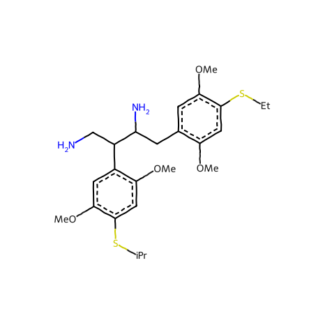 CCSc1cc(OC)c(CC(N)C(CN)c2cc(OC)c(SC(C)C)cc2OC)cc1OC